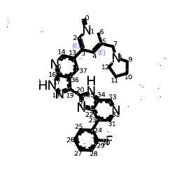 C=N/C=C(\C=C(/C)CN1CCCC1)c1cnc2[nH]nc(-c3nc4c(-c5ccccc5F)cncc4[nH]3)c2c1